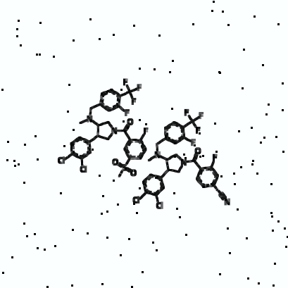 CN(Cc1ccc(C(F)(F)F)c(F)c1)C1CN(C(=O)c2cc(S(C)(=O)=O)ccc2F)CC1c1ccc(Cl)c(Cl)c1.CN(Cc1ccc(C(F)(F)F)c(F)c1)C1CN(C(=O)c2ccc(C#N)cc2F)CC1c1ccc(Cl)c(Cl)c1